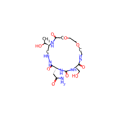 CC(O)[C@@H]1CNNC(=O)[C@@H](CC(N)=O)NC(=O)N[C@H](CO)C(=O)NCCOCCOCC(=O)N1